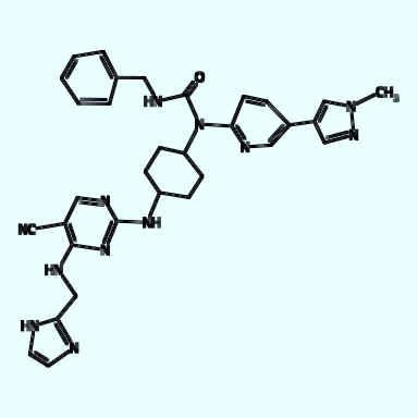 Cn1cc(-c2ccc(N(C(=O)NCc3ccccc3)C3CCC(Nc4ncc(C#N)c(NCc5ncc[nH]5)n4)CC3)nc2)cn1